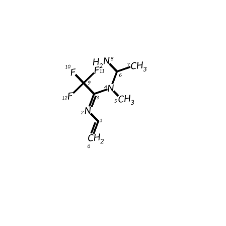 C=C/N=C(\N(C)C(C)N)C(F)(F)F